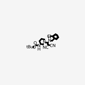 CC(C)(C)OC(=O)N[C@@H]1CCCN(C(NCc2ccccc2Cl)=C(C#N)C#N)C1